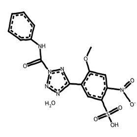 COc1cc([N+](=O)[O-])c(S(=O)(=O)O)cc1-c1nnn(C(=O)Nc2ccccc2)n1.O